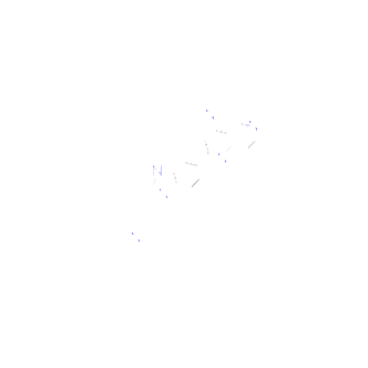 CNc1cc(-c2ccc3c(c2)ncn3CCCN2CCCCC2)nc2ccncc12